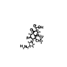 Cc1c(N2CCC(CN)C2)c(F)cc2c(=O)c(C(=O)O)cn(C3CC3)c12